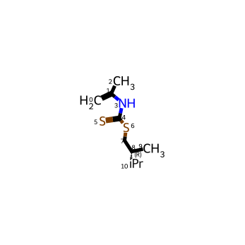 C=C(C)NC(=S)SC[C@H](C)C(C)C